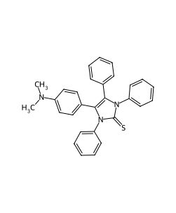 CN(C)c1ccc(-c2c(-c3ccccc3)n(-c3ccccc3)c(=S)n2-c2ccccc2)cc1